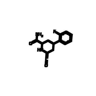 NC(=O)C1CC(c2ccccc2F)CC(=C=O)N1